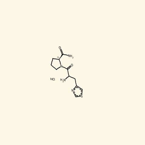 Cl.NC(=O)[C@@H]1CCCN1C(=O)C(N)Cc1cscn1